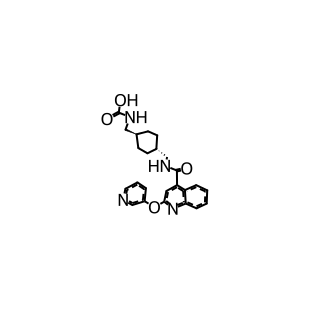 O=C(O)NC[C@H]1CC[C@H](CNC(=O)c2cc(Oc3cccnc3)nc3ccccc23)CC1